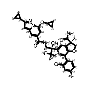 C[C@]1(C(N)=O)COc2c1cc([C@@](O)(CNC(=O)c1cc(OC3CC3)n3nc(C4CC4)cc3c1)C(F)(F)F)nc2-c1ccc(F)cc1Cl